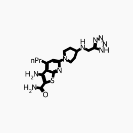 CCCc1cc(N2CCC(NCc3nnn[nH]3)CC2)nc2sc(C(N)=O)c(N)c12